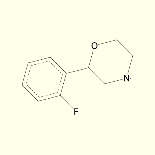 Fc1ccccc1C1C[N]CCO1